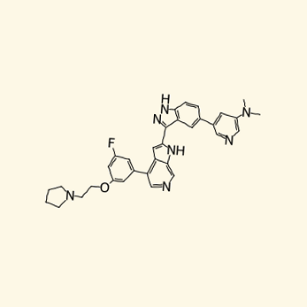 CN(C)c1cncc(-c2ccc3[nH]nc(-c4cc5c(-c6cc(F)cc(OCCN7CCCC7)c6)cncc5[nH]4)c3c2)c1